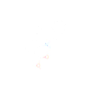 COC(=O)c1cccc(C2CC2c2ccccc2)c1-n1cccc1